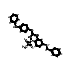 CS(=O)(=O)ONC(=Nc1ccc(Oc2ccccc2)cc1)Nc1cccc(OCc2ccccc2)c1